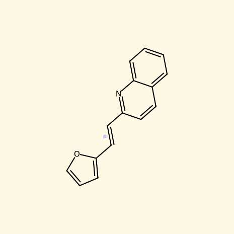 C(=C\c1ccco1)/c1ccc2ccccc2n1